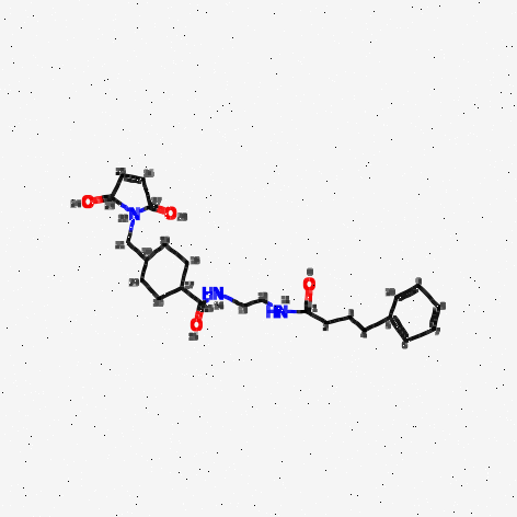 O=C(CCCc1ccccc1)NCCNC(=O)C1CCC(CN2C(=O)C=CC2=O)CC1